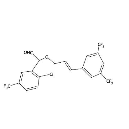 O=CC(OCC=Cc1cc(C(F)(F)F)cc(C(F)(F)F)c1)c1cc(C(F)(F)F)ccc1Cl